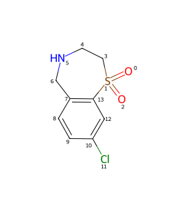 O=S1(=O)CCNCc2ccc(Cl)cc21